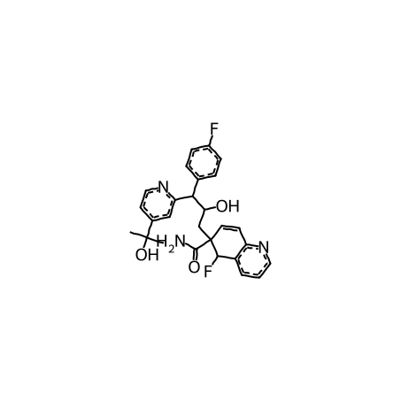 CC(C)(O)c1ccnc(C(c2ccc(F)cc2)C(O)CC2(C(N)=O)C=Cc3ncccc3C2F)c1